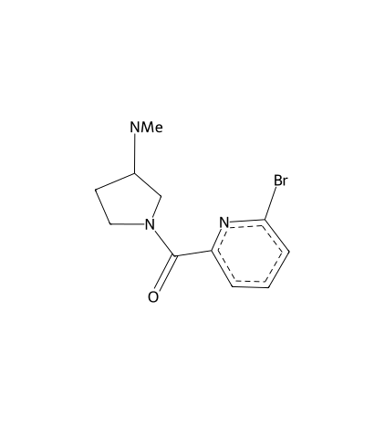 CNC1CCN(C(=O)c2cccc(Br)n2)C1